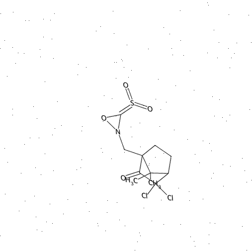 CC1(C)C2CCC1(CN1OC1=S(=O)=O)C(=O)C2(Cl)Cl